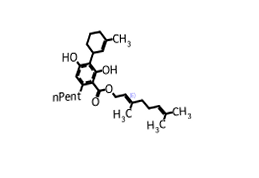 CCCCCc1cc(O)c(C2C=C(C)CCC2)c(O)c1C(=O)OC/C=C(\C)CCC=C(C)C